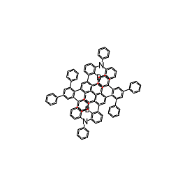 c1ccc(-c2cc(-c3ccccc3)c(-c3cc4c5c(cc6c(-c7c(-c8ccccc8)cc(-c8ccccc8)cc7-c7ccccc7)cc7c8c(cc3c5c68)B3c5ccccc5N(c5ccccc5)c5cccc-7c53)B3c5ccccc5N(c5ccccc5)c5cccc-4c53)c(-c3ccccc3)c2)cc1